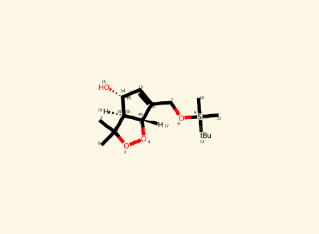 CC1(C)OO[C@H]2C(CO[Si](C)(C)C(C)(C)C)=C[C@@H](O)[C@@H]21